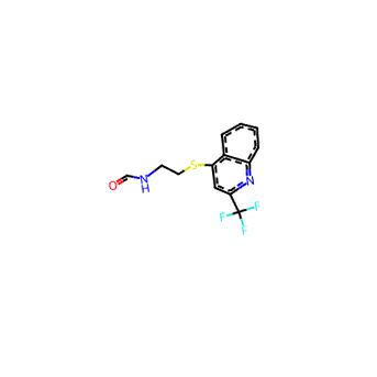 O=CNCCSc1cc(C(F)(F)F)nc2ccccc12